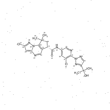 CC(C)(O)c1cnn(-c2ncc(NC(=O)[C@H]3CC(C)(C)c4c3cnc3cc(Cl)nn43)cc2Cl)n1